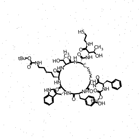 C[C@@H](O)[C@H](NC(=O)[C@@H]1CSSC[C@H](NC(=O)[C@@H](Cc2ccccc2)NC(=O)OC(C)(C)C)C(=O)N[C@@H](Cc2ccc(O)cc2)C(=O)N[C@H](Cc2c[nH]c3ccccc23)C(=O)N[C@@H](CCCCCNC(=O)OC(C)(C)C)C(=O)N[C@@H]([C@@H](C)O)C(=O)N1)C(=O)NCCS